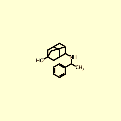 CC(NC1C2CC3CC1CC(O)(C3)C2)c1ccccc1